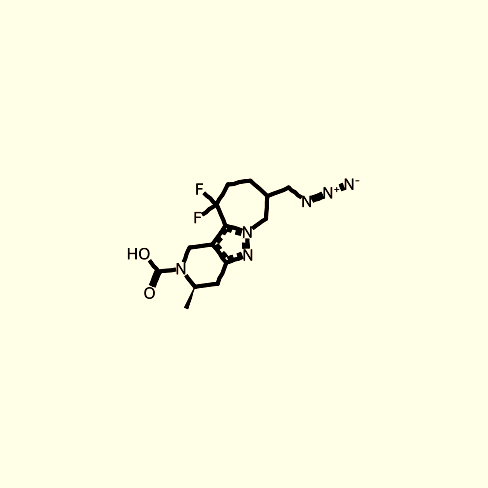 C[C@@H]1Cc2nn3c(c2CN1C(=O)O)C(F)(F)CCC(CN=[N+]=[N-])C3